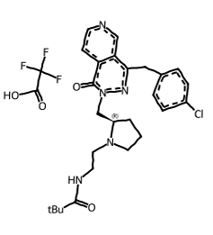 CC(C)(C)C(=O)NCCN1CCC[C@@H]1Cn1nc(Cc2ccc(Cl)cc2)c2cnccc2c1=O.O=C(O)C(F)(F)F